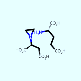 N[C@@H](CCC(=O)O)C(=O)O.O=C(O)C[C@@H](C(=O)O)N1CC1